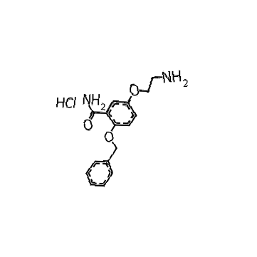 Cl.NCCOc1ccc(OCc2ccccc2)c(C(N)=O)c1